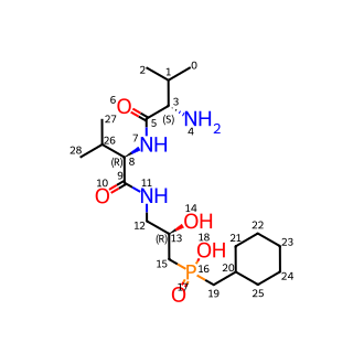 CC(C)[C@H](N)C(=O)N[C@@H](C(=O)NC[C@@H](O)CP(=O)(O)CC1CCCCC1)C(C)C